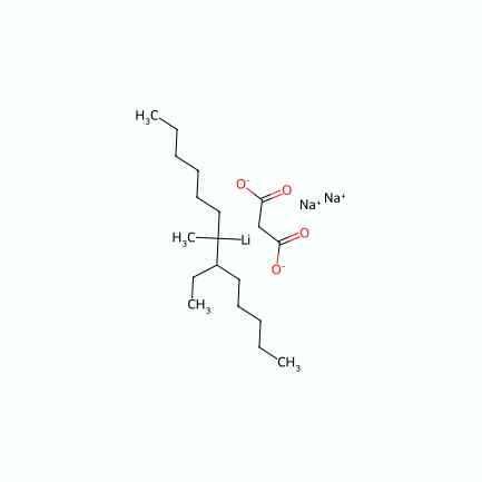 O=C([O-])CC(=O)[O-].[Li][C](C)(CCCCCC)C(CC)CCCCC.[Na+].[Na+]